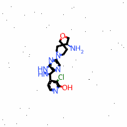 N[C@@H]1COCC12CCN(c1cnc3c(n1)NNC3c1ccnc(O)c1Cl)CC2